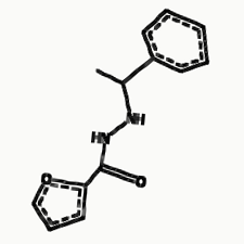 CC(NNC(=O)c1ccco1)c1ccccc1